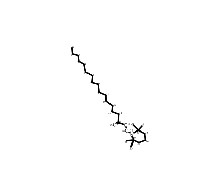 CCCCCCCCCCCCCCCC(=O)OON1C(C)(C)CCCC1(C)C